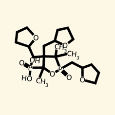 CC1(P(=O)(O)O)OP(=O)(CC2CCCO2)C(C)(C)C1(CC1CCCO1)CC1CCCO1